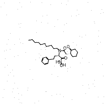 CCCCCCCCCCN(C(=O)C[C@H]1CCCCC1=O)[C@H](CCc1ccccc1)C(=O)NO